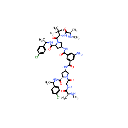 CN[C@@H](C)C(=O)NCC(=O)N1C[C@@H](NC(=O)c2cc(N)cc(C(=O)N[C@H]3C[C@@H](C(=O)N[C@H](C)c4ccc(Cl)cc4)N(C(=O)[C@@H](NC(=O)[C@H](C)NC)C(C)(C)C)C3)c2)C[C@H]1C(=O)N[C@H](C)c1ccc(Cl)cc1